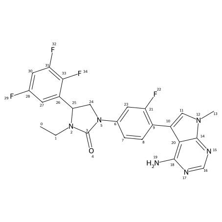 CCN1C(=O)N(c2ccc(-c3cn(C)c4ncnc(N)c34)c(F)c2)CC1c1cc(F)cc(F)c1F